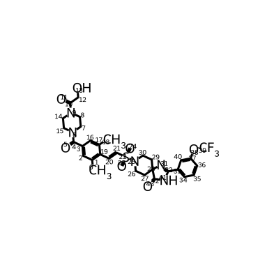 Cc1cc(C(=O)N2CCN(C(=O)CO)CC2)cc(C)c1C=CS(=O)(=O)N1CCC2(CC1)N=C(c1cccc(OC(F)(F)F)c1)NC2=O